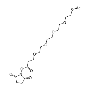 CC(=O)SCCOCCOCCOCCOCCC(=O)ON1C(=O)CCC1=O